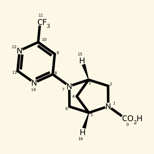 O=C(O)N1C[C@@H]2C[C@H]1CN2c1cc(C(F)(F)F)ncn1